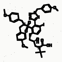 COc1ccc(CN(Cc2ccc(OC)cc2)S(=O)(=O)c2c(SC[C@H](O)CN(C(=O)O)C(C)(C)C)ccc(I)c2-c2nnn(Cc3ccc(OC)cc3)n2)cc1